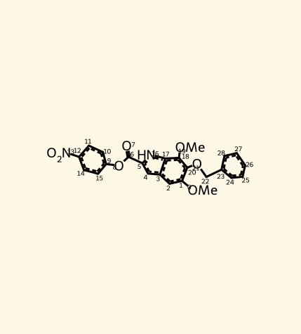 COc1cc2cc(C(=O)Oc3ccc([N+](=O)[O-])cc3)[nH]c2c(OC)c1OCc1ccccc1